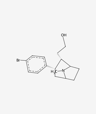 CN1C2CCC1[C@@H](CCO)[C@@H](c1ccc(Br)cc1)C2